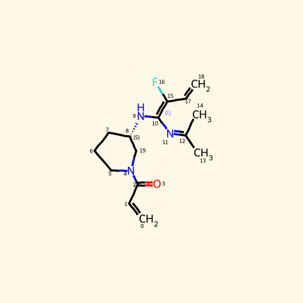 C=CC(=O)N1CCC[C@H](N/C(N=C(C)C)=C(\F)C=C)C1